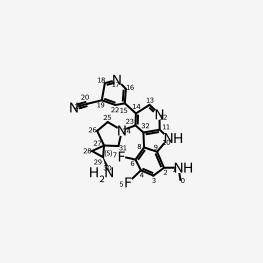 CNc1cc(F)c(F)c2c1[nH]c1ncc(-c3cncc(C#N)c3)c(N3CCC4(C[C@@H]4N)C3)c12